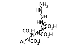 CC(=O)CN(CCN(CCN(CCN(CC(=O)O)CC(=O)NCCNCCNCCN)CC(=O)O)CC(=O)O)CC(=O)O